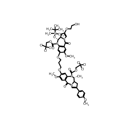 COc1ccc(C2=CN3C(=O)c4cc(OC)c(OCCCOc5cc6c(cc5OC)C(=O)N5C=C(OCCO)CC5[C@@H](O[Si](C)(C)C(C)(C)C)N6C(=O)OCC(Cl)(Cl)Cl)cc4N(C(=O)OCC(Cl)(Cl)Cl)[C@H](C)C3C2)cc1